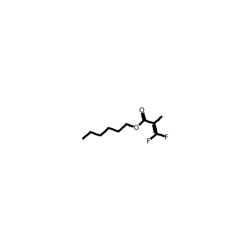 CCCCCCOC(=O)C(C)=C(F)F